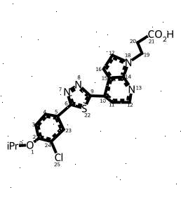 CC(C)Oc1ccc(-c2nnc(-c3ccnc4c3ccn4CCC(=O)O)s2)cc1Cl